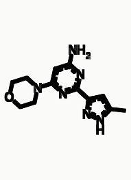 Cc1cc(-c2nc(N)cc(N3CCOCC3)n2)n[nH]1